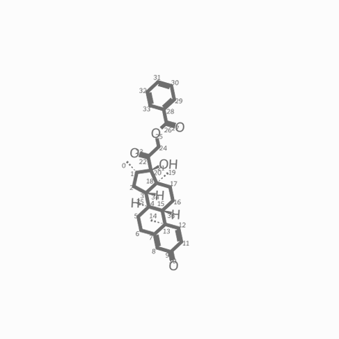 C[C@H]1C[C@H]2[C@@H]3CCC4=CC(=O)C=C[C@]4(C)[C@H]3CC[C@]2(C)[C@@]1(O)C(=O)COC(=O)c1ccccc1